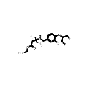 CCOC(=O)CC(C)(C)NCc1ccc(OC(CF)CF)c(Cl)c1